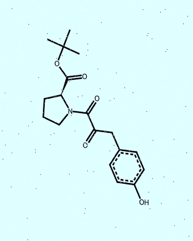 CC(C)(C)OC(=O)[C@@H]1CCCN1C(=O)C(=O)Cc1ccc(O)cc1